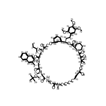 CCCC[C@H]1C(=O)N[C@@H](Cc2ccc3ccccc3c2)C(=O)N(C)[C@@H](COC(C)(C)C)C(=O)NCC(=O)N(C)CCCC/C=C/C(=O)OCC(C)(C)C(=O)C(=O)N2CCCC[C@H]2C(=O)O[C@H](CCc2cc(OC)c(OC)cc2OC)c2cccc(c2)OCC(=O)N1C